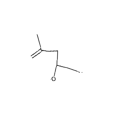 [CH2]C([O])CC(=C)C